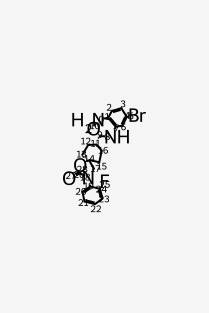 Nc1ccc(Br)cc1NC(=O)[C@H]1CC[C@]2(CC1)CN(c1ccccc1F)C(=O)O2